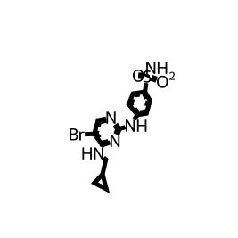 NS(=O)(=O)c1ccc(Nc2ncc(Br)c(NCC3CC3)n2)cc1